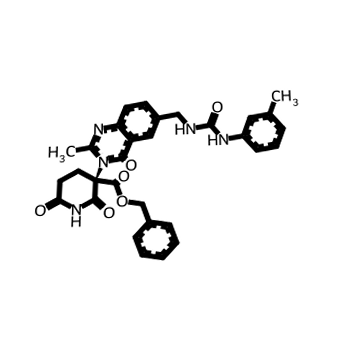 Cc1cccc(NC(=O)NCc2ccc3nc(C)n([C@]4(C(=O)OCc5ccccc5)CCC(=O)NC4=O)c(=O)c3c2)c1